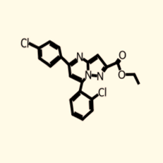 CCOC(=O)c1cc2nc(-c3ccc(Cl)cc3)cc(-c3ccccc3Cl)n2n1